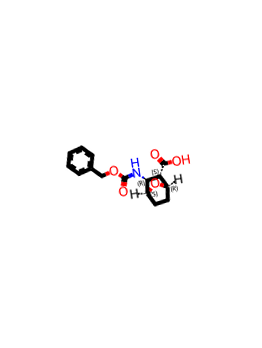 O=C(N[C@@H]1[C@H](C(=O)O)[C@H]2CC[C@@H]1O2)OCc1ccccc1